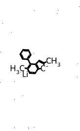 Cc1cc2c(-c3ccccc3)c(C)ccc2[cH-]1.[Li+]